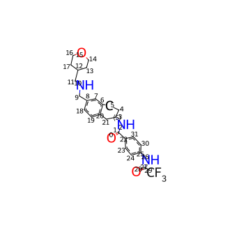 O=C(N[C@H]1CCc2cc(CNCC3CCOCC3)ccc2C1)c1ccc(NC(=O)C(F)(F)F)cc1